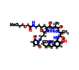 COCCOCC(=O)NCCCC[C@H](NC(=O)CCCN1C(=O)C=CC1=O)C(=O)N[C@H](C(=O)N[C@@H](C)C(=O)Nc1cc(C[C@H](N)CCC(=O)O)ccc1O)C(C)C